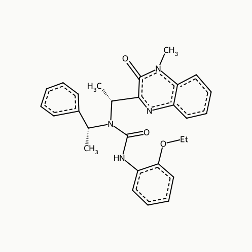 CCOc1ccccc1NC(=O)N([C@H](C)c1ccccc1)[C@H](C)c1nc2ccccc2n(C)c1=O